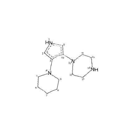 [c]1[nH]cc(N2CCCCC2)c1N1CCNCC1